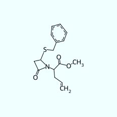 C=CCC(C(=O)OC)N1C(=O)CC1SCc1ccccc1